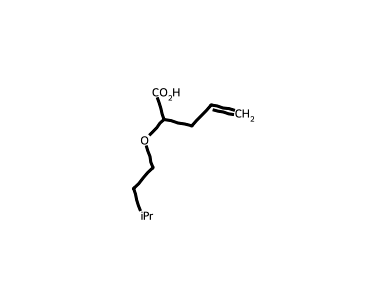 C=CCC(OCCC(C)C)C(=O)O